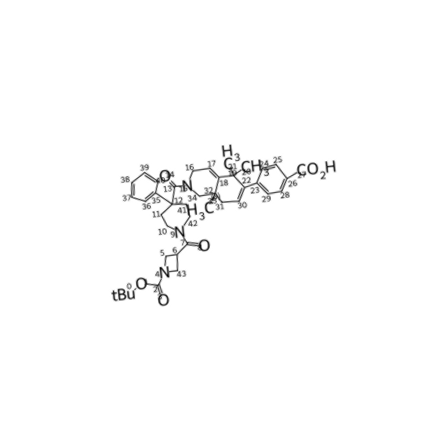 CC(C)(C)OC(=O)N1CC(C(=O)N2CCC(C(=O)N3CC=C4C(C)(C)C(c5ccc(C(=O)O)cc5)=CC[C@]4(C)C3)(c3ccccc3)CC2)C1